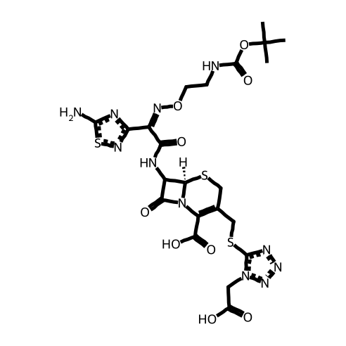 CC(C)(C)OC(=O)NCCO/N=C(\C(=O)NC1C(=O)N2C(C(=O)O)=C(CSc3nnnn3CC(=O)O)CS[C@H]12)c1nsc(N)n1